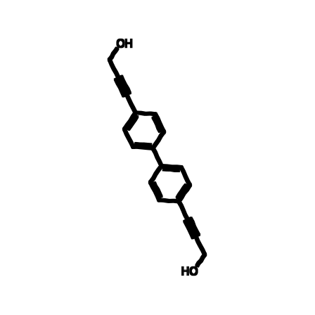 OCC#Cc1ccc(-c2ccc(C#CCO)cc2)cc1